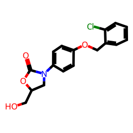 O=C1OC(CO)CN1c1ccc(OCc2ccccc2Cl)cc1